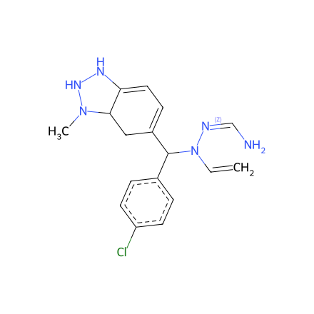 C=CN(/N=C\N)C(C1=CC=C2NNN(C)C2C1)c1ccc(Cl)cc1